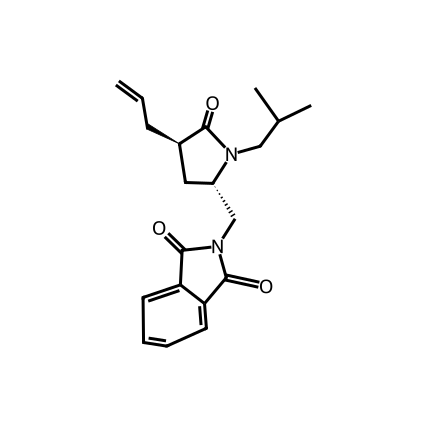 C=CC[C@@H]1C[C@@H](CN2C(=O)c3ccccc3C2=O)N(CC(C)C)C1=O